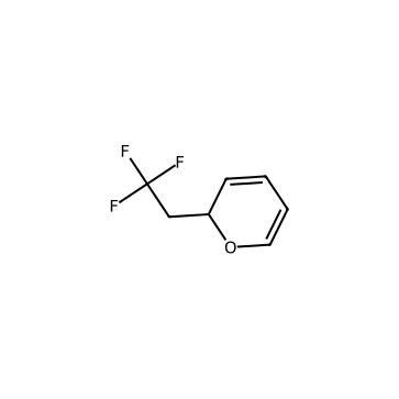 FC(F)(F)CC1C=CC=CO1